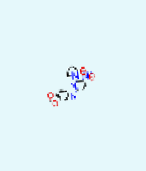 CN(c1ccc2c(c1)OCO2)c1ccc([N+](=O)[O-])c(N2CCCC2)n1